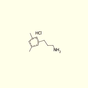 Cc1cc(C)cc(CCCN)c1.Cl